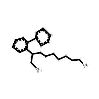 CCCCCCCCC(CC)c1ccccc1-c1ccccc1